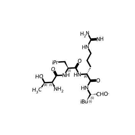 CC[C@H](C)[C@@H]([C]=O)NC(=O)[C@@H](CCCNC(=N)N)NC(=O)[C@H](CC(C)C)NC(=O)[C@@H](N)[C@@H](C)O